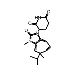 CC(C)C1(C)C=CC=c2c(n(C)c(=O)n2C2CCC(=O)NC2=O)=C1